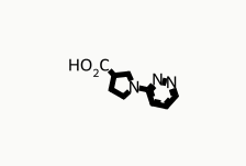 O=C(O)C1CCN(c2cccnn2)C1